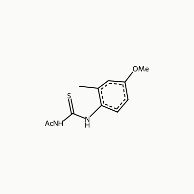 COc1ccc(NC(=S)NC(C)=O)c(C)c1